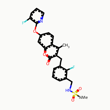 CNS(=O)(=O)NCc1cccc(Cc2c(C)c3ccc(Oc4ncccc4F)cc3oc2=O)c1F